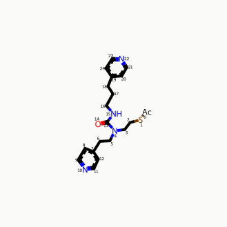 CC(=O)SCCN(CCc1ccncc1)C(=O)NCCCc1ccncc1